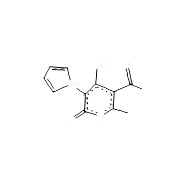 CC(=O)c1c(C)oc(=O)c([SH]2C=CC=C2)c1O